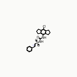 O=C(Nc1c2c(c(Cl)c3c1CCC3)CCC2)NS(=O)(=O)/C=C/c1ccccc1